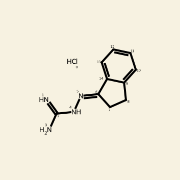 Cl.N=C(N)NN=C1CCc2ccccc21